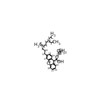 CCN(CC)CCN(C)CCCc1ccc2c(c1)Oc1ccccc1C2C(=O)O.CI.CI